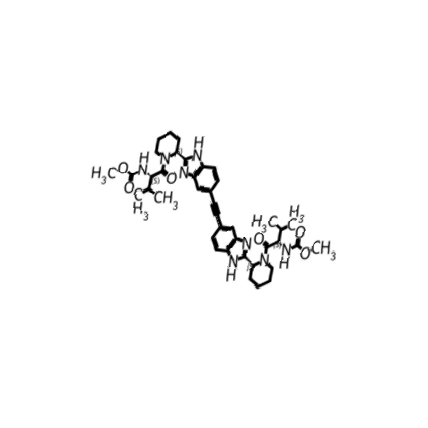 COC(=O)N[C@H](C(=O)N1CCCC[C@H]1c1nc2cc(C#Cc3ccc4[nH]c([C@@H]5CCCCN5C(=O)[C@@H](NC(=O)OC)C(C)C)nc4c3)ccc2[nH]1)C(C)C